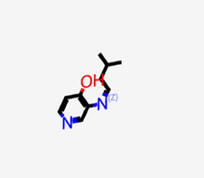 CC(C)C/C=N\c1cnccc1O